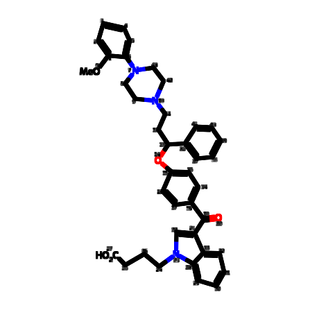 COc1ccccc1N1CCN(CCC(Oc2ccc(C(=O)c3cn(CCCC(=O)O)c4ccccc34)cc2)c2ccccc2)CC1